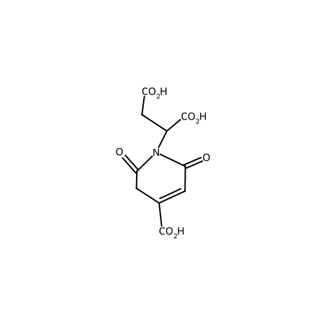 O=C(O)CC(C(=O)O)N1C(=O)C=C(C(=O)O)CC1=O